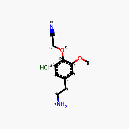 COc1cc(CCN)ccc1OCC#N.Cl